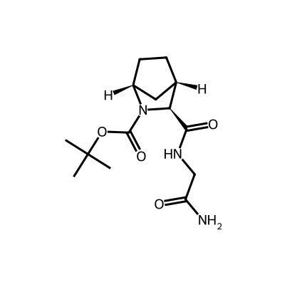 CC(C)(C)OC(=O)N1[C@@H]2CC[C@@H](C2)[C@H]1C(=O)NCC(N)=O